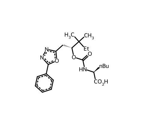 CCCC[C@H](NC(=O)O[C@H](Cc1nnc(-c2ccccc2)o1)C(C)(C)CC)C(=O)O